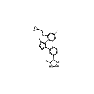 Cn1cnc(-c2cc(C3NNNC3F)ccn2)c1-c1ccc(F)cc1OCC1CC1